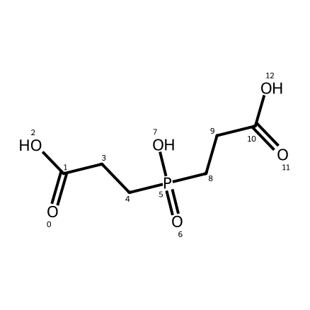 O=C(O)CCP(=O)(O)CCC(=O)O